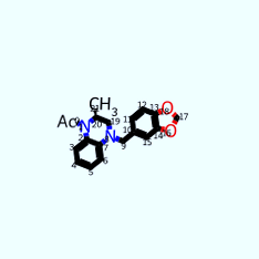 CC(=O)N1c2ccccc2N(Cc2ccc3c(c2)OCO3)C[C@@H]1C